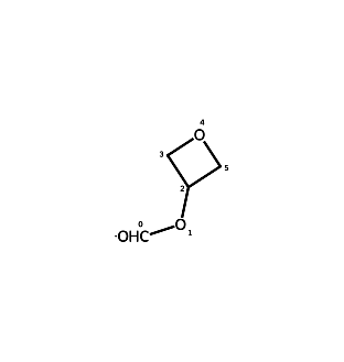 O=[C]OC1COC1